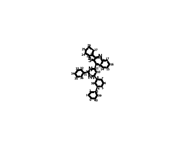 c1ccc(-c2cccc(-c3cc(-c4c5ccccc5nc5c4sc4ccccc45)nc(-c4ccccc4)n3)c2)cc1